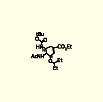 CCOC(=O)C1=C[C@@H](OC(CC)CC)C(NC(C)=O)[C@@H](NC(=O)OC(C)(C)C)C1